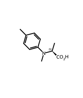 Cc1ccc(N(C)[C@@H](C)C(=O)O)cc1